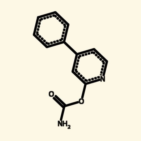 NC(=O)Oc1cc(-c2ccccc2)ccn1